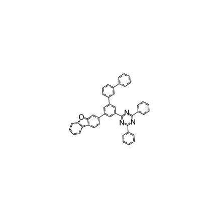 c1ccc(-c2cccc(-c3cc(-c4ccc5c(c4)oc4ccccc45)cc(-c4nc(-c5ccccc5)nc(-c5ccccc5)n4)c3)c2)cc1